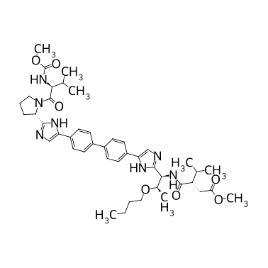 CCCCO[C@H](C)[C@H](NC(=O)[C@@H](CC(=O)OC)C(C)C)c1ncc(-c2ccc(-c3ccc(-c4cnc([C@@H]5CCCN5C(=O)[C@@H](NC(=O)OC)C(C)C)[nH]4)cc3)cc2)[nH]1